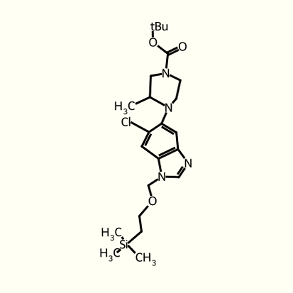 CC1CN(C(=O)OC(C)(C)C)CCN1c1cc2ncn(COCC[Si](C)(C)C)c2cc1Cl